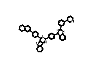 c1cncc(-c2cccc(-c3nc(-c4ccc(-c5nc(-c6ccc(-c7ccc8ccccc8c7)cc6)c6oc7ccccc7c6n5)cc4)c4ccccc4n3)c2)c1